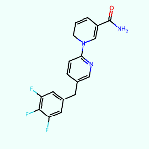 NC(=O)C1=CN(c2ccc(Cc3cc(F)c(F)c(F)c3)cn2)CC=C1